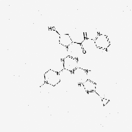 CN1CCN(c2nc(Nc3cc(C4CC4)n[nH]3)nc(N3C[C@@H](O)C[C@H]3C(=O)Nc3cnccn3)n2)CC1